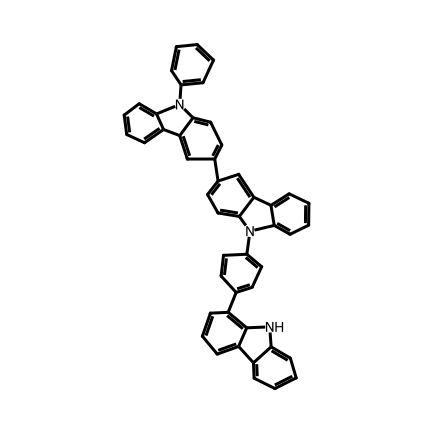 c1ccc(-n2c3ccccc3c3cc(-c4ccc5c(c4)c4ccccc4n5-c4ccc(-c5cccc6c5[nH]c5ccccc56)cc4)ccc32)cc1